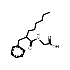 CCCCCCC(Cc1ccccc1)C(=O)NCC(=O)O